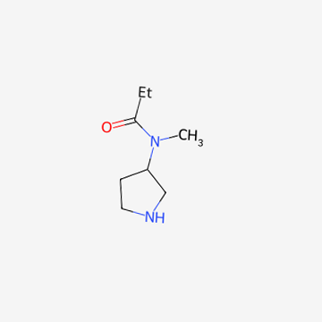 CCC(=O)N(C)C1CCNC1